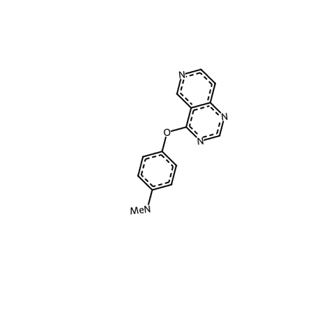 CNc1ccc(Oc2ncnc3ccncc23)cc1